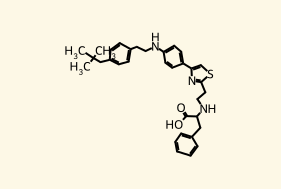 CC(C)(C)Cc1ccc(CCNc2ccc(-c3csc(CCNC(Cc4ccccc4)C(=O)O)n3)cc2)cc1